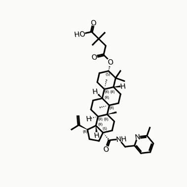 C=C(C)[C@@H]1CC[C@]2(C(=O)NCc3cccc(C)n3)CC[C@]3(C)[C@H](CC[C@@H]4[C@@]5(C)CC[C@H](OC(=O)CC(C)(C)C(=O)O)C(C)(C)[C@@H]5CC[C@]43C)[C@@H]12